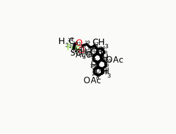 CC(=O)OC1CC[C@@]2(C)[C@@H](C1)CC(OC(C)=O)[C@H]1[C@@H]3CCC([C@@H](C)CCC(=O)OC(C)C(F)(F)S(=O)(=O)O)[C@@]3(C)C(OC(C)=O)C[C@@H]12